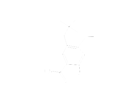 COc1cc(O)c(C(N)=O)cc1CC(C)(C)C